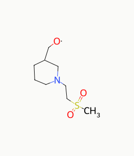 CS(=O)(=O)CCN1CCCC(C[O])C1